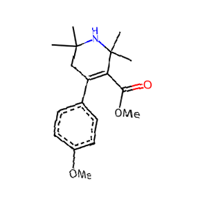 COC(=O)C1=C(c2ccc(OC)cc2)CC(C)(C)NC1(C)C